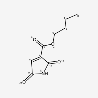 CCCCOC(=O)C1=CC(=O)NC1=O